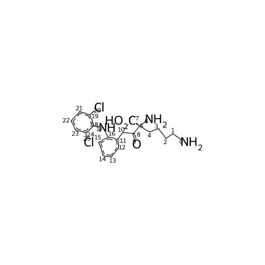 NCCCC[C@](N)(C(=O)O)C(=O)Cc1ccccc1Nc1c(Cl)cccc1Cl